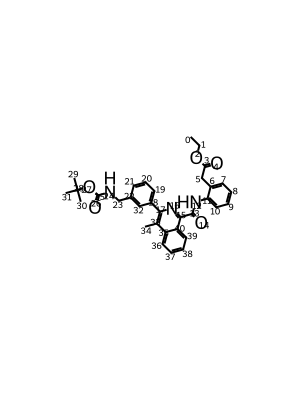 CCOC(=O)Cc1ccccc1NC(=O)c1nc(-c2cccc(CNC(=O)OC(C)(C)C)c2)c(C)c2ccccc12